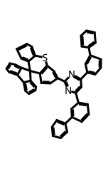 c1ccc(-c2cccc(-c3cc(-c4cccc(-c5ccccc5)c4)nc(-c4ccc5c(c4)Sc4ccccc4C54c5ccccc5-c5ccccc54)n3)c2)cc1